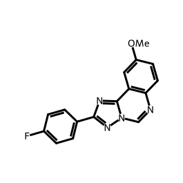 COc1ccc2ncn3nc(-c4ccc(F)cc4)nc3c2c1